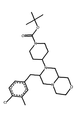 Cc1cc(CC2CN3CCOCC3CN2C2CCN(C(=O)OC(C)(C)C)CC2)ccc1Cl